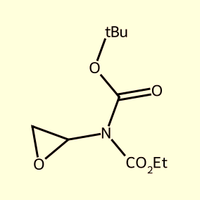 CCOC(=O)N(C(=O)OC(C)(C)C)C1CO1